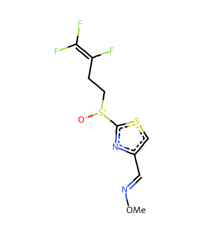 CON=Cc1csc([S+]([O-])CCC(F)=C(F)F)n1